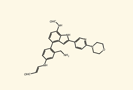 NCc1cc(NC=CC=O)ccc1-c1ccc(NC=O)c2[nH]c(-c3ccc(N4CCOCC4)nc3)cc12